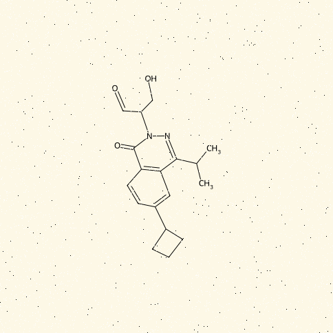 CC(C)c1nn(C(C=O)CO)c(=O)c2ccc(C3CCC3)cc12